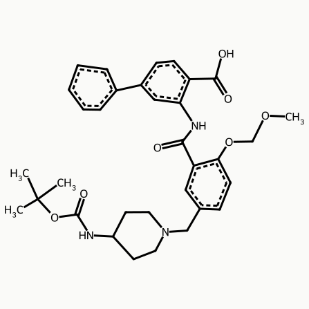 COCOc1ccc(CN2CCC(NC(=O)OC(C)(C)C)CC2)cc1C(=O)Nc1cc(-c2ccccc2)ccc1C(=O)O